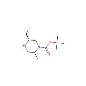 CC1CN[C@@H](CF)CN1C(=O)OC(C)(C)C